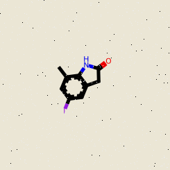 Cc1cc(I)cc2c1NC(=O)C2